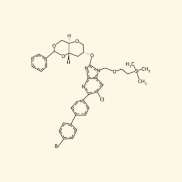 C[Si](C)(C)CCOCn1c(O[C@H]2CO[C@@H]3COC(c4ccccc4)O[C@H]3C2)nc2nc(-c3ccc(-c4ccc(Br)cc4)cc3)c(Cl)cc21